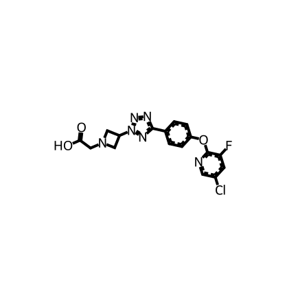 O=C(O)CN1CC(n2nnc(-c3ccc(Oc4ncc(Cl)cc4F)cc3)n2)C1